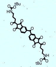 CC(C)(C)OC(=O)NCCCC(=O)C1C(=O)c2ccc(C(=O)c3ccc4c(c3)C(=O)C(C(=O)CCCNC(=O)OC(C)(C)C)C4=O)cc2C1=O